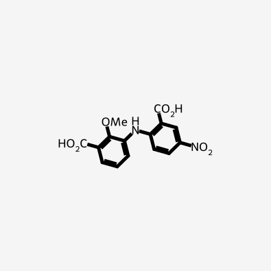 COc1c(Nc2ccc([N+](=O)[O-])cc2C(=O)O)cccc1C(=O)O